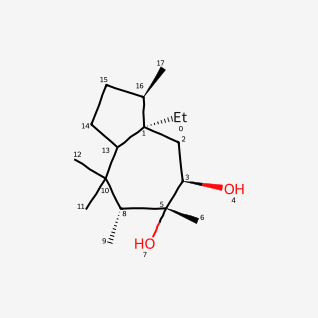 CC[C@]12C[C@@H](O)[C@](C)(O)[C@H](C)C(C)(C)C1CC[C@H]2C